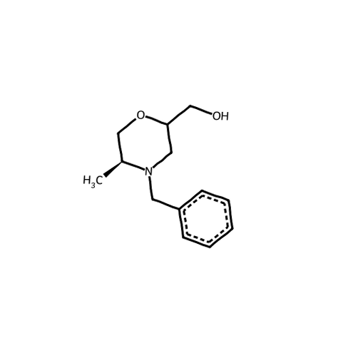 C[C@H]1COC(CO)CN1Cc1ccccc1